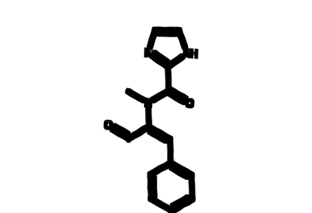 CN(C(=O)c1ncc[nH]1)C([C]=O)=Cc1ccccc1